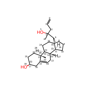 C=CCC(C)(O)C[C@@]12CCC[C@H]1[C@@H]1CC=C3C[C@@H](O)CC[C@]3(C)[C@H]1CC2